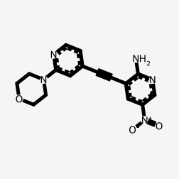 Nc1ncc([N+](=O)[O-])cc1C#Cc1ccnc(N2CCOCC2)c1